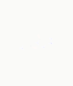 O=c1c2cn[nH]c2ncn1CC1(O)CCNCC1